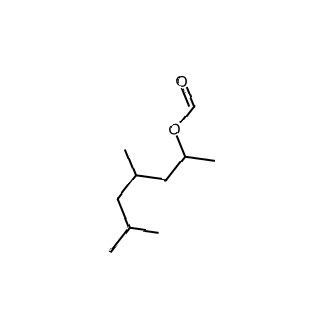 CC(C)CC(C)CC(C)OC=O